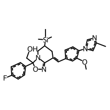 COc1cc(/C=C2\CC([Si](C)(C)C)CN3C2=NOC3(CO)c2ccc(F)cc2)ccc1-n1cnc(C)c1